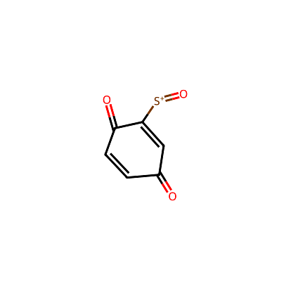 O=[S+]C1=CC(=O)C=CC1=O